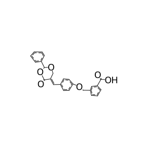 O=C1OC(c2ccccc2)OC/C1=C\c1ccc(OCc2cccc(C(=O)O)c2)cc1